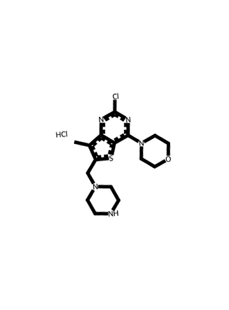 Cc1c(CN2CCNCC2)sc2c(N3CCOCC3)nc(Cl)nc12.Cl